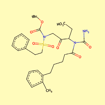 Cc1ccccc1CCCCC(=O)N(C(N)=O)C(CC(=O)O)C(=O)CN(C(=O)OC(C)(C)C)S(=O)(=O)CCc1ccccc1